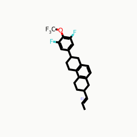 C/C=C/C1CCc2c(ccc3c2CCC(c2cc(F)c(OC(F)(F)F)c(F)c2)C3)C1